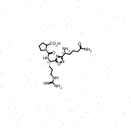 N=C(N)NCCC[C@H](NC(=O)N1CCCC1C(=O)O)c1nc([C@@H](N)CCCC(N)=O)no1